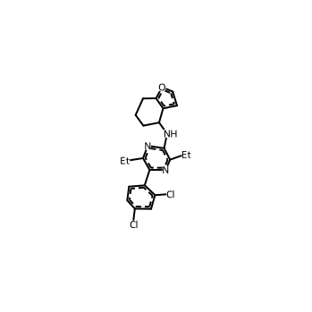 CCc1nc(-c2ccc(Cl)cc2Cl)c(CC)nc1NC1CCCc2occc21